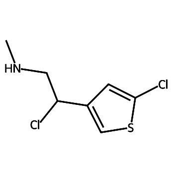 CNCC(Cl)c1csc(Cl)c1